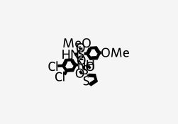 COc1ccc(S(=O)(=O)Nc2cc(Cl)c(Cl)cc2NS(=O)(=O)c2cccs2)c(OC)c1